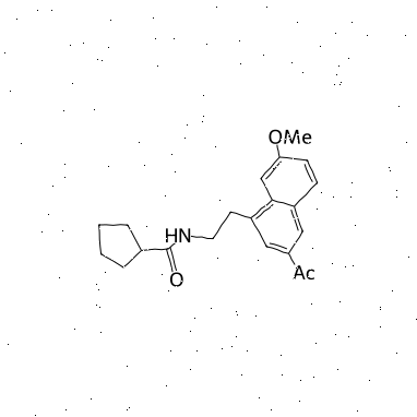 COc1ccc2cc(C(C)=O)cc(CCNC(=O)C3CCCC3)c2c1